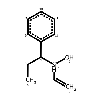 C=C[SiH](O)C(CC)c1ccccc1